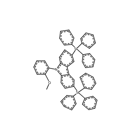 COc1ccccc1-n1c2ccc([Si](c3ccccc3)(c3ccccc3)c3ccccc3)cc2c2cc([Si](c3ccccc3)(c3ccccc3)c3ccccc3)ccc21